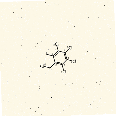 Cc1c(Cl)c(Cl)c(Cl)c(Cl)c1CCl